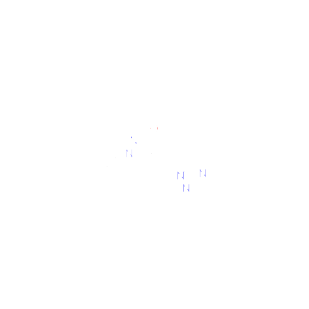 c1nc2ccc(C3=C4OCCCN4N(C4CC4)C3)cn2n1